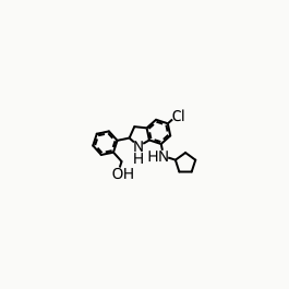 OCc1ccccc1C1Cc2cc(Cl)cc(NC3CCCC3)c2N1